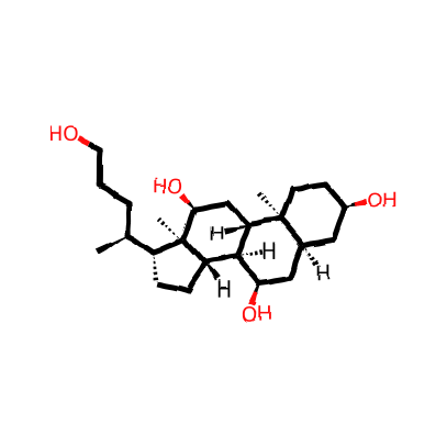 C[C@@H](CCCO)[C@H]1CC[C@H]2[C@@H]3[C@H](O)C[C@@H]4C[C@H](O)CC[C@]4(C)[C@H]3C[C@H](O)[C@]12C